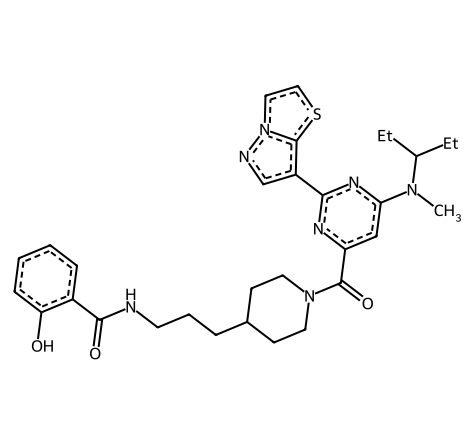 CCC(CC)N(C)c1cc(C(=O)N2CCC(CCCNC(=O)c3ccccc3O)CC2)nc(-c2cnn3ccsc23)n1